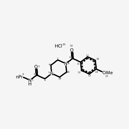 CCCNC(=O)CN1CCN(C(=O)c2ccc(OC)cc2)CC1.Cl